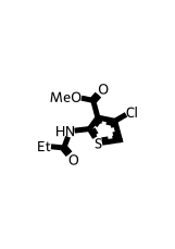 CCC(=O)Nc1scc(Cl)c1C(=O)OC